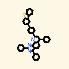 c1ccc(-c2nc(-c3ccccc3)c3ccc4c(-c5ccccc5)cc(-c5ccc(-c6ccc7sc8ccccc8c7c6)cc5)nc4c3n2)cc1